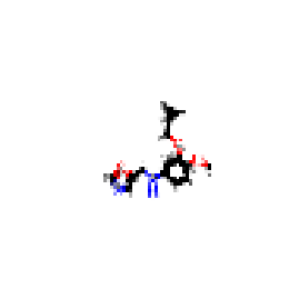 COc1ccc(NCc2cnco2)cc1OCC1CC1